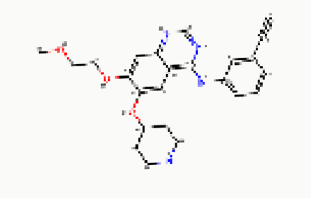 C#Cc1cccc(Nc2ncnc3cc(OCCOC)c(OC4CCNCC4)cc23)c1